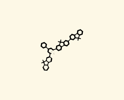 CC1(C)c2ccccc2-c2ccc(-c3ccc4c(c3)C(C)(C)c3cc(-c5cc(-c6ccccc6)cc(C6=CC7C(C=C6)C6C=CC=CC6C7(C)C)n5)ccc3-4)cc21